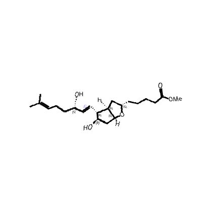 COC(=O)CCCC[C@H]1C[C@@H]2[C@@H](/C=C/[C@@H](O)CCC=C(C)C)[C@H](O)C[C@@H]2O1